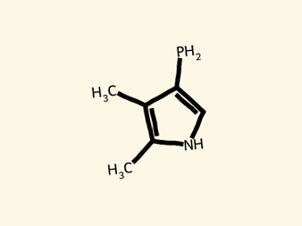 Cc1[nH]cc(P)c1C